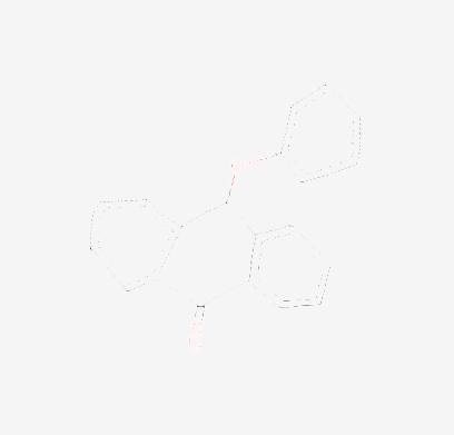 O=C1c2ccccc2C(Oc2ccccc2)c2ccccc21